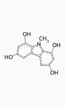 Cn1c2c(O)cc(O)cc2c2cc(O)cc(O)c21